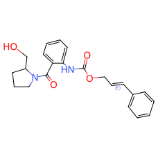 O=C(Nc1ccccc1C(=O)N1CCCC1CO)OC/C=C/c1ccccc1